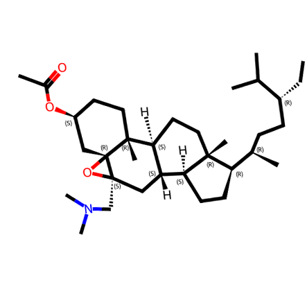 CC[C@H](CC[C@@H](C)[C@H]1CC[C@H]2[C@@H]3C[C@@]4(CN(C)C)O[C@@]45C[C@@H](OC(C)=O)CC[C@]5(C)[C@H]3CC[C@]12C)C(C)C